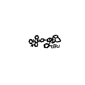 CC(C)(C)c1ccccc1N/C=C1/C=C\C=C/c2ccccc2N1c1ccc(-c2ccc(N3c4ccccc4N4c5ccccc5C(C)(C)c5cccc3c54)cc2)cc1